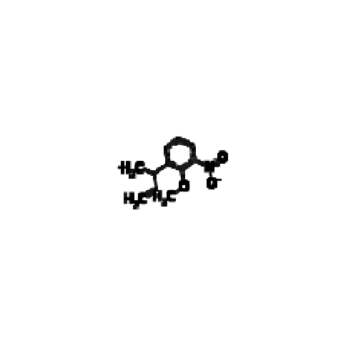 [CH2]C(C=C)c1cccc([N+](=O)[O-])c1OC